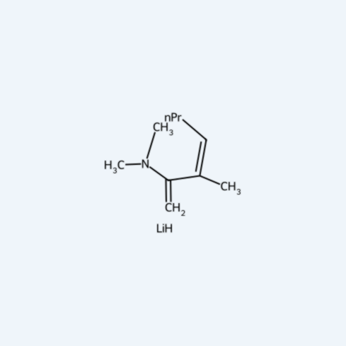 C=C(C(C)=CCCC)N(C)C.[LiH]